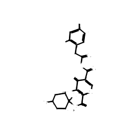 CNC1(N(C)C(=O)c2[nH]cc(C(=N)SC(=N)Cc3ccc(F)cc3F)c(=O)c2O)CCC(N)CC1